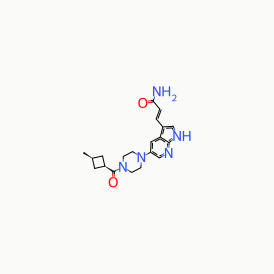 C[C@H]1C[C@@H](C(=O)N2CCN(c3cnc4[nH]cc(/C=C/C(N)=O)c4c3)CC2)C1